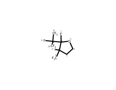 FC(F)(F)C1(I)CCOC1(F)C(F)(C(F)(F)F)C(F)(F)F